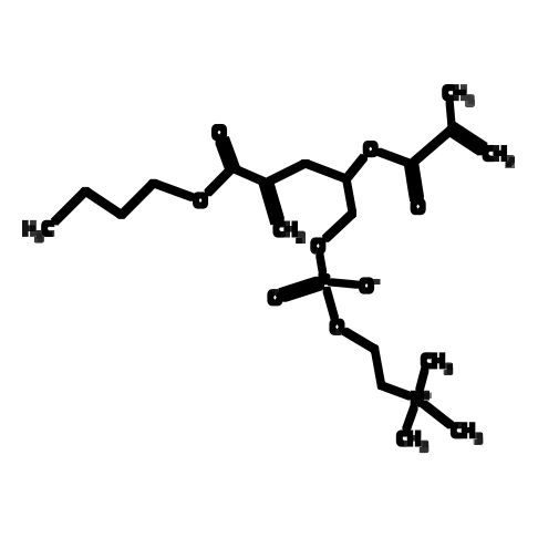 C=C(C)C(=O)OC(COP(=O)([O-])OCC[N+](C)(C)C)CC(=C)C(=O)OCCCC